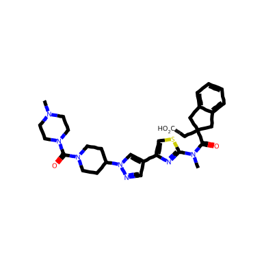 CN1CCN(C(=O)N2CCC(n3cc(-c4csc(N(C)C(=O)C5(CC(=O)O)Cc6ccccc6C5)n4)cn3)CC2)CC1